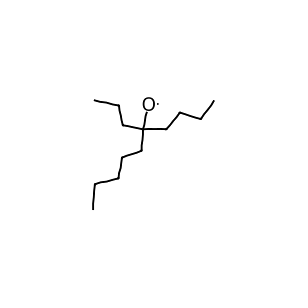 CCCCCC([O])(CCC)CCCC